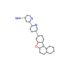 N#Cc1ccnc(-c2ccc(-c3ccc4c(c3)oc3ccc5ccccc5c34)cn2)c1